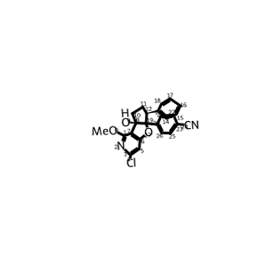 COc1nc(Cl)cc2c1[C@]1(O)CC[C@@H](c3ccccc3)C1(c1ccc(C#N)cc1)O2